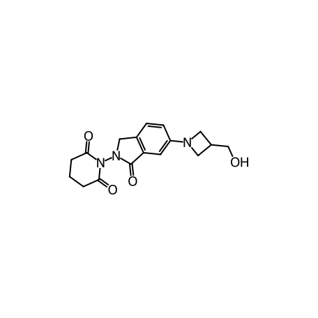 O=C1c2cc(N3CC(CO)C3)ccc2CN1N1C(=O)CCCC1=O